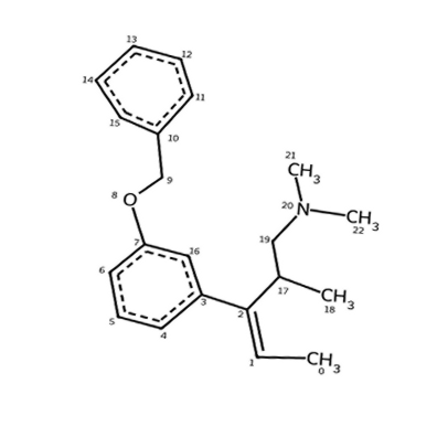 CC=C(c1cccc(OCc2ccccc2)c1)C(C)CN(C)C